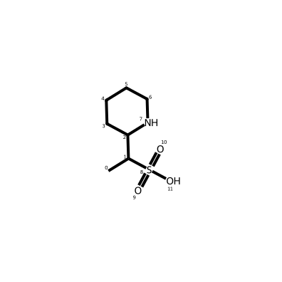 CC(C1CCCCN1)S(=O)(=O)O